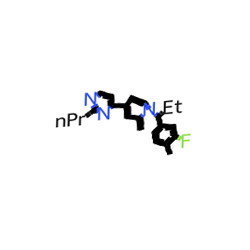 C=C1C=C(c2ccnc(CCC)n2)C=CN1C(CC)c1ccc(C)c(F)c1